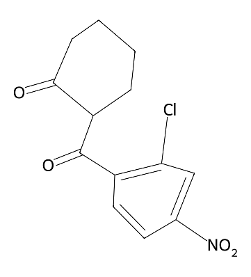 O=C1CCCCC1C(=O)c1ccc([N+](=O)[O-])cc1Cl